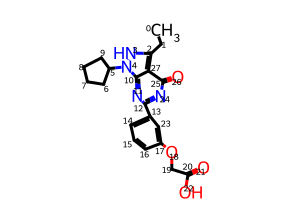 CCc1[nH]n(C2CCCC2)c2nc(-c3cccc(OCC(=O)O)c3)nc(=O)c1-2